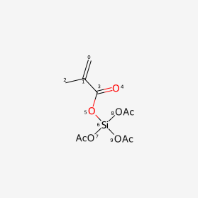 C=C(C)C(=O)O[Si](OC(C)=O)(OC(C)=O)OC(C)=O